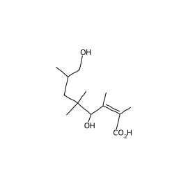 CC(C(=O)O)=C(C)C(O)C(C)(C)CC(C)CO